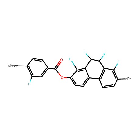 CCCCCc1ccc(C(=O)Oc2ccc3c(c2F)C(F)C(F)c2c-3ccc(CCC)c2F)cc1F